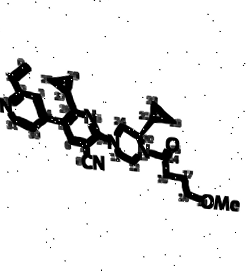 C=Cc1cc(-c2cc(C#N)c(N3CCN(C(=O)CCCOC)[C@H](C4CC4)C3)nc2C2CC2)ccn1